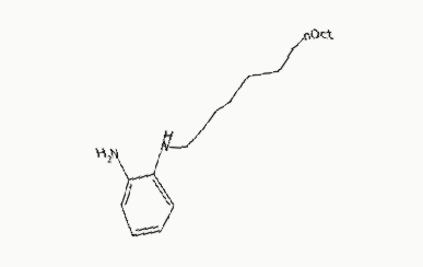 CCCCCCCCCCCCCCNc1ccccc1N